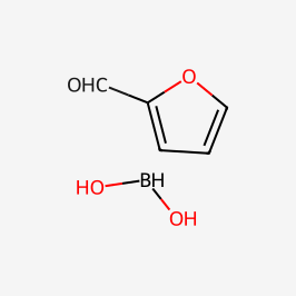 O=Cc1ccco1.OBO